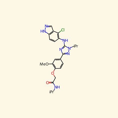 COc1cc(-c2nc(Nc3ccc4[nH]ncc4c3Cl)n(C(C)C)n2)ccc1OCC(=O)NC(C)C